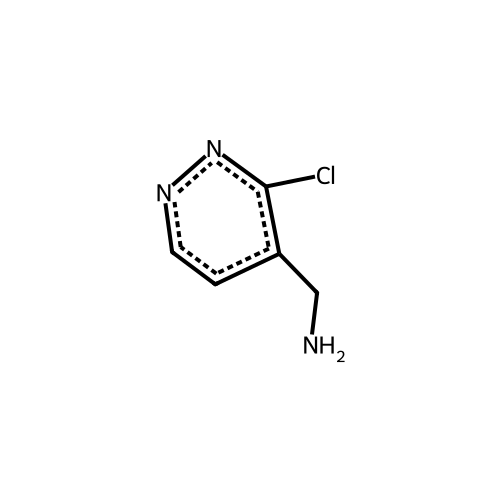 NCc1ccnnc1Cl